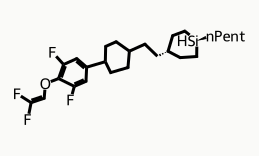 CCCCC[Si@H]1CC[C@H](CCC2CCC(c3cc(F)c(OC=C(F)F)c(F)c3)CC2)CC1